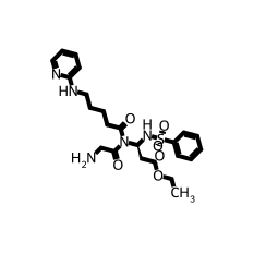 CCOC(=O)C[C@H](NS(=O)(=O)c1ccccc1)N(C(=O)CN)C(=O)CCCCNc1ccccn1